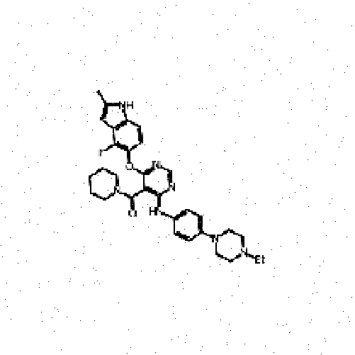 CCN1CCN(c2ccc(Nc3ncnc(Oc4ccc5[nH]c(C)cc5c4F)c3C(=O)N3CCCCC3)cc2)CC1